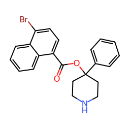 O=C(OC1(c2ccccc2)CCNCC1)c1ccc(Br)c2ccccc12